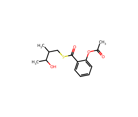 CC(=O)Oc1ccccc1C(=O)SCC(C)C(C)O